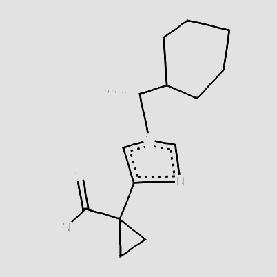 C[C@H](C1CCCCC1)n1cnc(C2(C(N)=O)CC2)c1